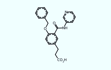 O=C(O)CCc1ccc(OCc2ccccc2)c(C(=O)Nc2cccnc2)c1